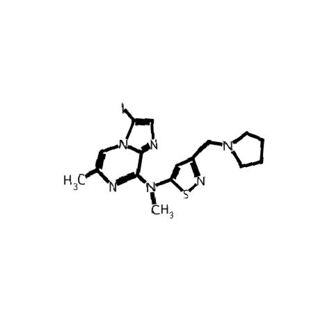 Cc1cn2c(I)cnc2c(N(C)c2cc(CN3CCCC3)ns2)n1